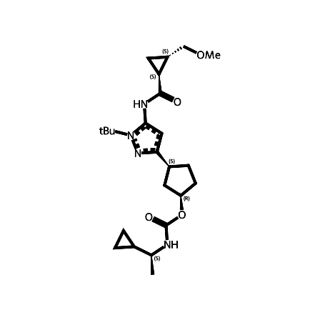 COC[C@H]1C[C@@H]1C(=O)Nc1cc([C@H]2CC[C@@H](OC(=O)N[C@@H](C)C3CC3)C2)nn1C(C)(C)C